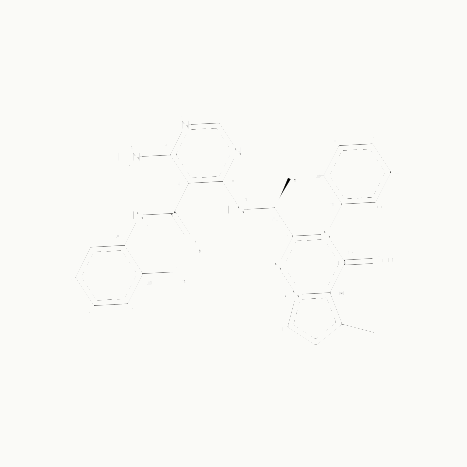 Cc1ccn2nc([C@H](C)Nc3ncnc(N)c3C(=O)Nc3ccccc3O)n(-c3ccccc3)c(=O)c12